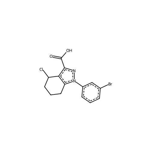 O=C(O)c1nn(-c2cccc(Br)c2)c2c1C(Cl)CCC2